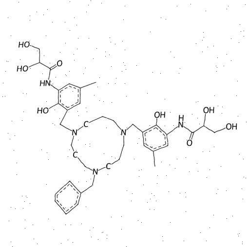 Cc1cc(CN2CCCN(Cc3ccccc3)CCCN(Cc3cc(C)cc(NC(=O)C(O)CO)c3O)CCC2)c(O)c(NC(=O)C(O)CO)c1